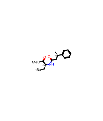 COC(=O)[C@H](CC(C)(C)C)NC(=O)C[C@@H](C)c1ccccc1